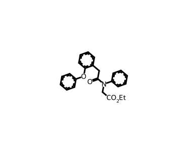 CCOC(=O)CN(C(=O)Cc1ccccc1Oc1ccccc1)c1ccccc1